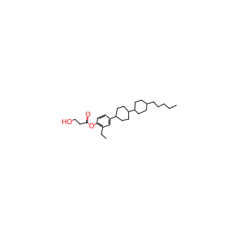 CCCCCC1CCC(C2CCC(c3ccc(OC(=O)CCO)c(CC)c3)CC2)CC1